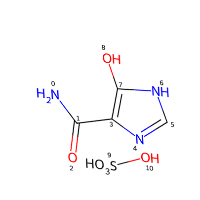 NC(=O)c1nc[nH]c1O.O=S(=O)(O)O